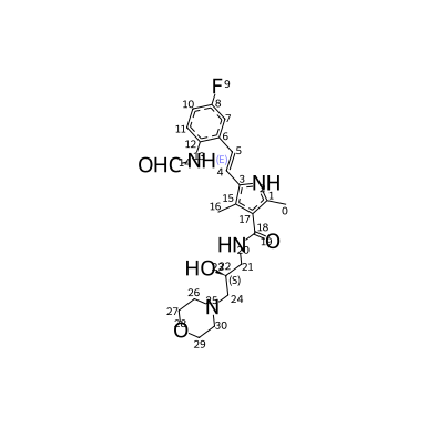 Cc1[nH]c(/C=C/c2cc(F)ccc2NC=O)c(C)c1C(=O)NC[C@H](O)CN1CCOCC1